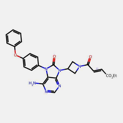 CCOC(=O)/C=C/C(=O)N1CC(n2c(=O)n(-c3ccc(Oc4ccccc4)cc3)c3c(N)ncnc32)C1